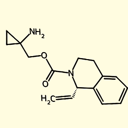 C=C[C@H]1c2ccccc2CCN1C(=O)OCC1(N)CC1